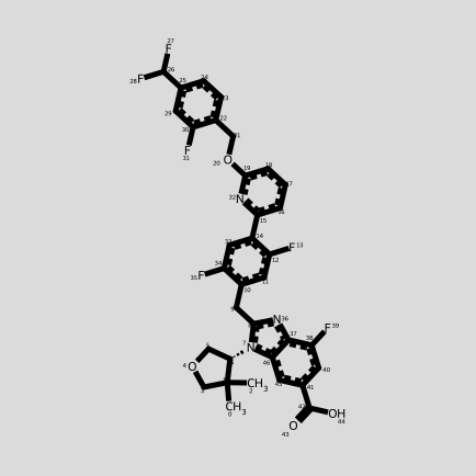 CC1(C)COC[C@@H]1n1c(Cc2cc(F)c(-c3cccc(OCc4ccc(C(F)F)cc4F)n3)cc2F)nc2c(F)cc(C(=O)O)cc21